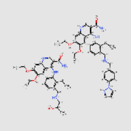 CCOc1cc2ncc(C(N)=O)c(Nc3cccc(CNCC(C)O)c3CC)c2cc1OCC.CCOc1cc2ncc(C(N)=O)c(Nc3cccc(CNCc4ccc(-n5cccn5)cc4)c3CC)c2cc1OCC